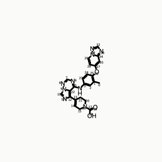 Cc1cc(Nc2ncnn3cnc(C4=CCN(C(=O)O)CC4)c23)ccc1Oc1ccn2ncnc2c1